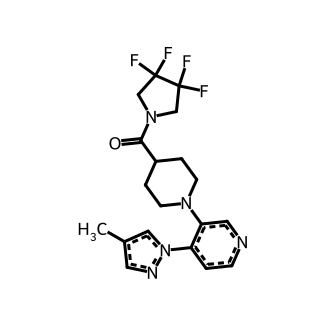 Cc1cnn(-c2ccncc2N2CCC(C(=O)N3CC(F)(F)C(F)(F)C3)CC2)c1